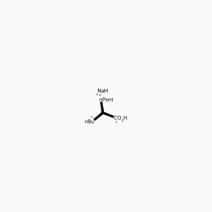 CCCCCC(CCCC)C(=O)O.[NaH]